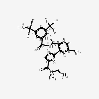 CCN(C)C(=O)c1cnc(-c2nc(C)cnc2[C@H](C)NC(=O)c2cc(C(C)(F)F)cc(C(F)(F)F)c2)s1